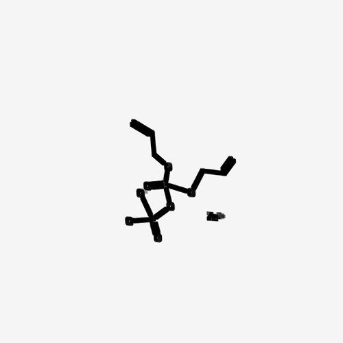 C=CCOP(=O)(OCC=C)OP(=O)([O-])[O-].[Zn+2]